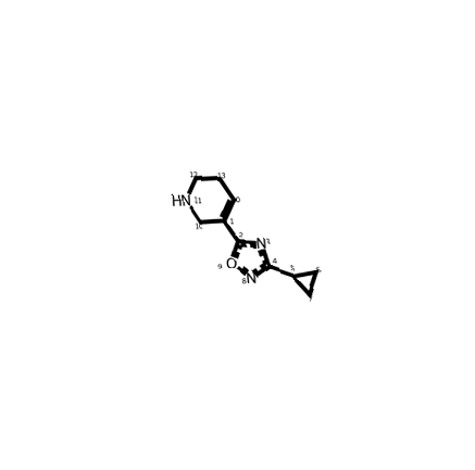 C1=C(c2nc(C3CC3)no2)CNCC1